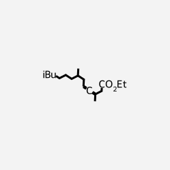 CCOC(=O)CC(C)=C=CCC(C)CCCC(C)CC